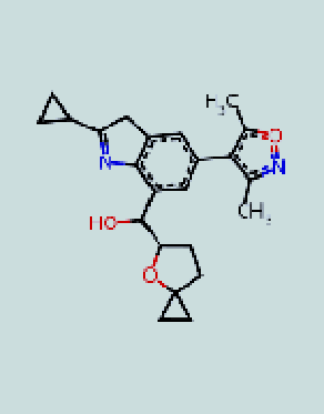 Cc1noc(C)c1-c1cc2c(c(C(O)[C@H]3CCC4(CC4)O3)c1)N=C(C1CC1)C2